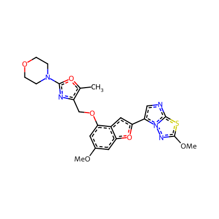 COc1cc(OCc2nc(N3CCOCC3)oc2C)c2cc(-c3cnc4sc(OC)nn34)oc2c1